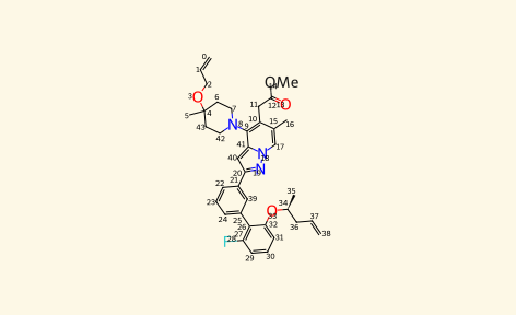 C=CCOC1(C)CCN(c2c(CC(=O)OC)c(C)cn3nc(-c4cccc(-c5c(F)cccc5O[C@@H](C)CC=C)c4)cc23)CC1